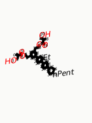 C=C(CO)C(=O)OCCc1cc(CCOC(=O)C(C)CO)cc(-c2ccc(-c3ccc(C4CCC(CCCCC)CC4)cc3)c(CC)c2)c1